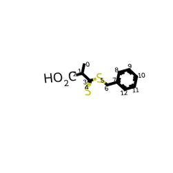 CC(C(=O)O)C(=S)SCc1ccccc1